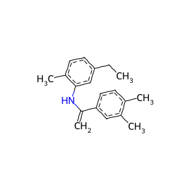 C=C(Nc1cc(CC)ccc1C)c1ccc(C)c(C)c1